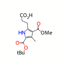 COC(=O)c1c(CCC(=O)O)[nH]c(C(=O)OC(C)(C)C)c1C